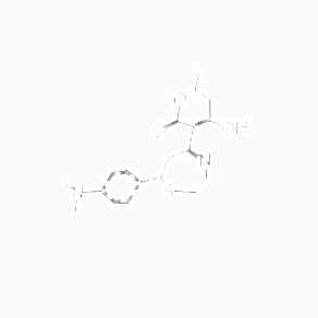 CC1CC(O)=C(C2=NCCSC(c3ccc(N(C)C)cc3)C2)C(=O)O1